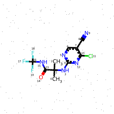 CC(C)(Nc1ncc(C#N)c(Cl)n1)C(=O)NC(F)(F)F